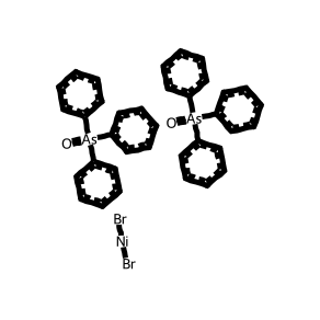 O=[As](c1ccccc1)(c1ccccc1)c1ccccc1.O=[As](c1ccccc1)(c1ccccc1)c1ccccc1.[Br][Ni][Br]